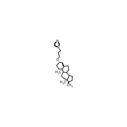 C=C1CCC2C3CCC4=C[C@@H](OCCCn5ccnc5)CC[C@]4(C)C3CC[C@]12C